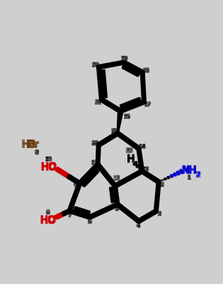 Br.N[C@@H]1CCc2cc(O)c(O)c3c2[C@H]1C[C@H](c1ccccc1)C3